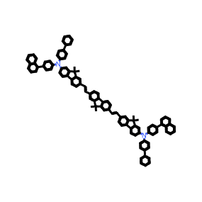 CC1(C)c2cc(/C=C/c3ccc4c(c3)C(C)(C)c3cc(N(c5ccc(-c6ccccc6)cc5)c5ccc(-c6cccc7ccccc67)cc5)ccc3-4)ccc2-c2ccc(/C=C/c3ccc4c(c3)C(C)(C)c3cc(N(c5ccc(-c6ccccc6)cc5)c5ccc(-c6cccc7ccccc67)cc5)ccc3-4)cc21